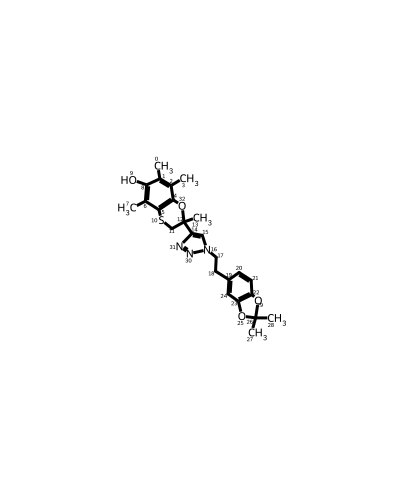 Cc1c(C)c2c(c(C)c1O)SCC(C)(c1cn(CCc3ccc4c(c3)OC(C)(C)O4)nn1)O2